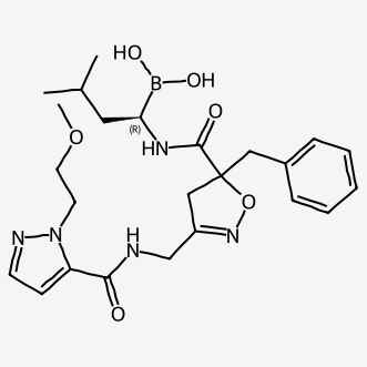 COCCn1nccc1C(=O)NCC1=NOC(Cc2ccccc2)(C(=O)N[C@@H](CC(C)C)B(O)O)C1